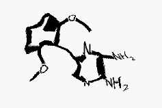 COc1cccc(OC)c1-c1cnc(N)c(N)n1